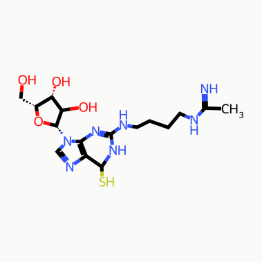 CC(=N)NCCCCNC1=Nc2c(ncn2[C@@H]2O[C@H](CO)[C@H](O)C2O)C(S)N1